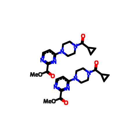 COC(=O)c1nccc(N2CCN(C(=O)C3CC3)CC2)n1.COC(=O)c1nccc(N2CCN(C(=O)C3CC3)CC2)n1